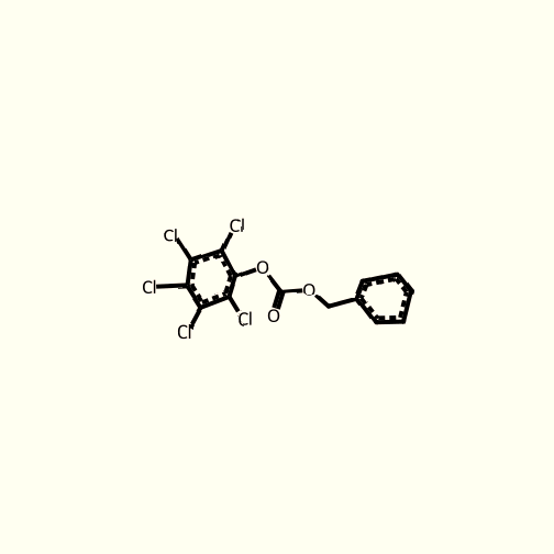 O=C(OCc1ccccc1)Oc1c(Cl)c(Cl)c(Cl)c(Cl)c1Cl